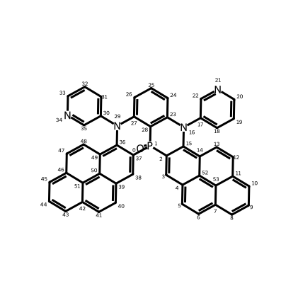 O=P12c3cc4ccc5cccc6ccc(c3N(c3cccnc3)c3cccc(c31)N(c1cccnc1)c1c2cc2ccc3cccc7ccc1c2c37)c4c56